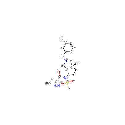 CC(C)C[C@@H](N)C(=O)N(C1CC[C@H]2CN(Cc3cccc(C(F)(F)F)c3)CC12)S(C)(=O)=O